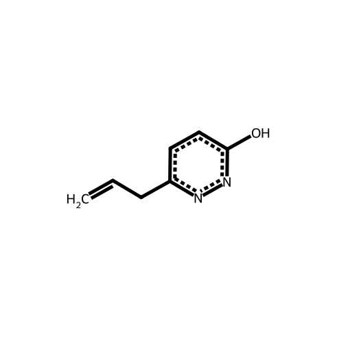 C=CCc1ccc(O)nn1